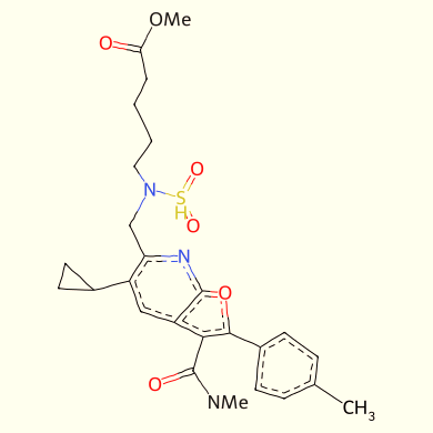 CNC(=O)c1c(-c2ccc(C)cc2)oc2nc(CN(CCCCC(=O)OC)[SH](=O)=O)c(C3CC3)cc12